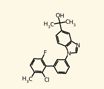 Cc1ccc(F)c(-c2cccc(-n3cnc4cc(C(C)(C)O)ccc43)c2)c1Cl